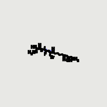 C/C(SNC(=N)SN)=C(F)\C=C(/CBr)NCCCCNC[C@H](O)CN